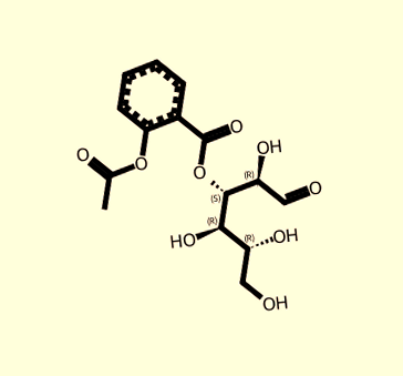 CC(=O)Oc1ccccc1C(=O)O[C@@H]([C@H](O)[C@H](O)CO)[C@@H](O)C=O